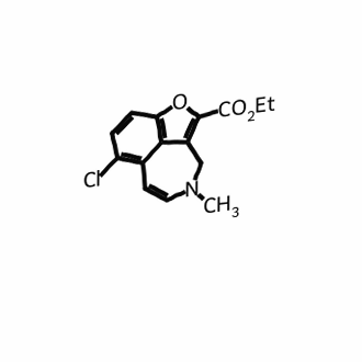 CCOC(=O)c1oc2ccc(Cl)c3c2c1CN(C)C=C3